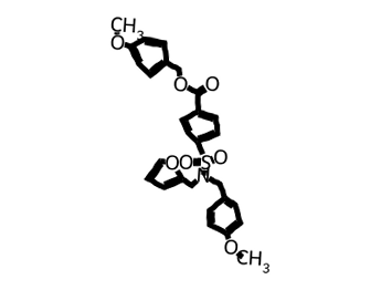 COc1ccc(COC(=O)c2ccc(S(=O)(=O)N(Cc3ccc(OC)cc3)Cc3ccco3)cc2)cc1